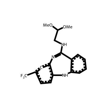 COC(CNC1=Nc2cc(C(F)(F)F)ccc2Nc2ccccc21)OC